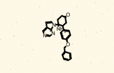 NC1(n2ccc3cncnc32)CCC(=O)CC1c1ccc(OCc2ccccc2)cc1